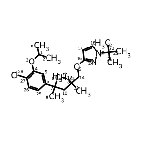 CC(C)Oc1cc(C(C)(C)CC(C)(C)COc2ccn(C(C)(C)C)n2)ccc1Cl